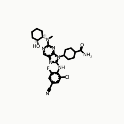 CN(c1ncc2nc(Nc3c(F)cc(C#N)cc3Cl)n(C3CCC(C(N)=O)CC3)c2n1)[C@H]1CCCC[C@@H]1O